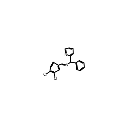 Clc1ccc(/C=N/C(c2ccccc2)c2ccccn2)cc1Cl